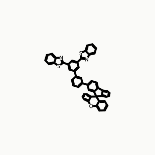 c1cc(-c2cc(-c3nc4ccccc4s3)cc(-c3nc4ccccc4s3)c2)cc(-c2ccc3c(c2)C2(c4ccccc4Oc4ccccc42)c2ccccc2-3)c1